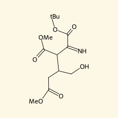 COC(=O)CC(CO)C(C(=N)C(=O)OC(C)(C)C)C(=O)OC